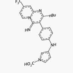 CCCCc1nc2cc(C(F)(F)F)ccn2c(=N)c1-c1ccc(Nc2ccn(C(=O)O)c2)cc1